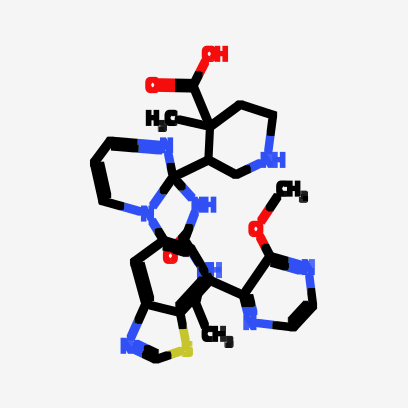 CCNC(=O)NC1(C2CNCCC2(C)C(=O)O)N=CC=CN1c1cc(-c2nccnc2OC)c2scnc2c1